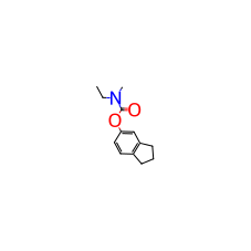 CCN(C)C(=O)Oc1ccc2c(c1)CCC2